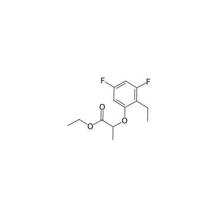 CCOC(=O)C(C)Oc1cc(F)cc(F)c1CC